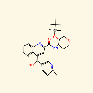 Cc1ccc(C(O)c2cc(C(=O)N[C@H]3CCOC[C@@H]3O[Si](C)(C)C(C)(C)C)nc3ccccc23)cn1